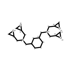 C1CC(CN(CC2CO2)CC2CO2)CC(CN(CC2CO2)CC2CO2)C1